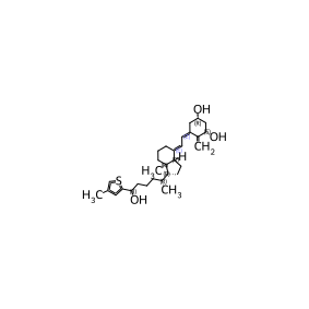 C=C1/C(=C\C=C2/CCC[C@]3(C)[C@@H]([C@H](C)CCC[C@@H](O)c4cc(C)cs4)CC[C@@H]23)C[C@@H](O)C[C@@H]1O